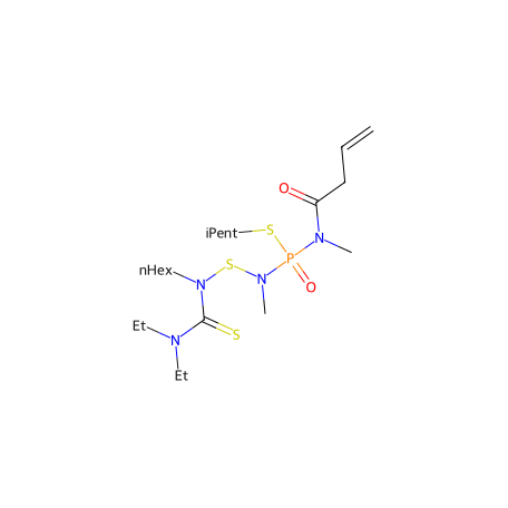 C=CCC(=O)N(C)P(=O)(SC(C)CCC)N(C)SN(CCCCCC)C(=S)N(CC)CC